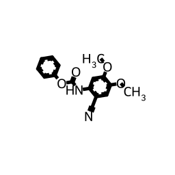 COc1cc(C#N)c(NC(=O)Oc2ccccc2)cc1OC